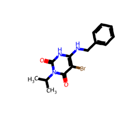 CC(C)n1c(=O)[nH]c(NCc2ccccc2)c(Br)c1=O